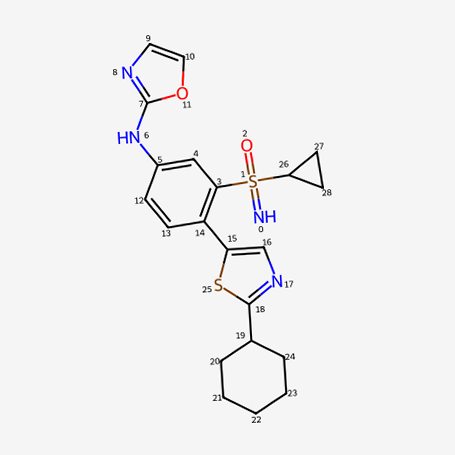 N=S(=O)(c1cc(Nc2ncco2)ccc1-c1cnc(C2CCCCC2)s1)C1CC1